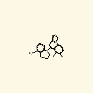 Cc1cccc2c1CCCCN2c1nc2nncn2c2ccc(F)c(F)c12